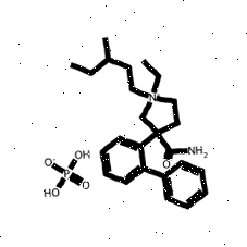 CCC(C)CC[N+]1(CC)CCC(C(N)=O)(c2ccccc2-c2ccccc2)C1.O=P([O-])(O)O